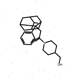 CC1C2CC3CC1CC(C2)C3(CC(=O)N1CCC(CO)CC1)c1ccccc1